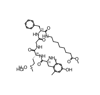 COC(=O)CCCCCCCNC(=O)[C@H](Cc1ccccc1)NC(=O)CNC(=O)[C@@H](CCSC)NC(=O)[C@@H](N)Cc1c(C)cc(O)cc1C.Cl.O